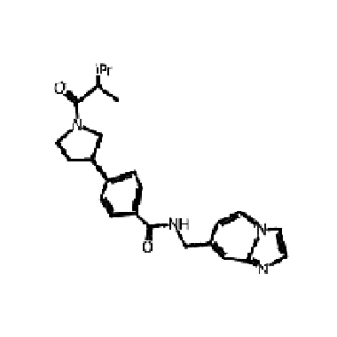 CC(C)C(C)C(=O)N1CCC(c2ccc(C(=O)NCc3ccn4ccnc4c3)cc2)C1